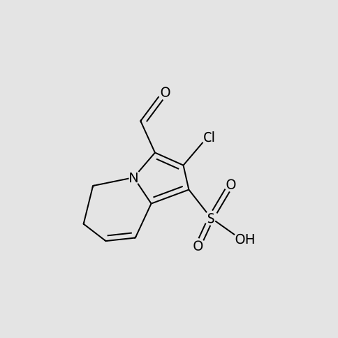 O=Cc1c(Cl)c(S(=O)(=O)O)c2n1CCC=C2